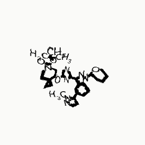 Cn1nccc1-c1ccc2c(c1)c(-c1cncc(O[C@H]3CN(C(=O)OC(C)(C)C)CCC34CC4)n1)nn2C1CCCCO1